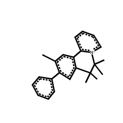 Cc1cc2c(cc1-c1ccccc1)C(C)(C)C(C)(C)[n+]1ccccc1-2